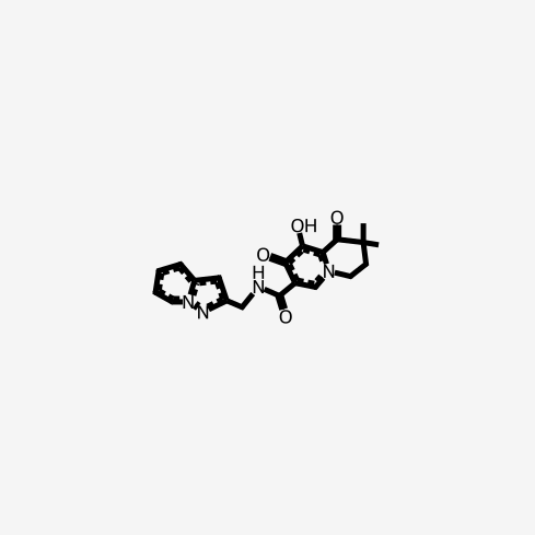 CC1(C)CCn2cc(C(=O)NCc3cc4ccccn4n3)c(=O)c(O)c2C1=O